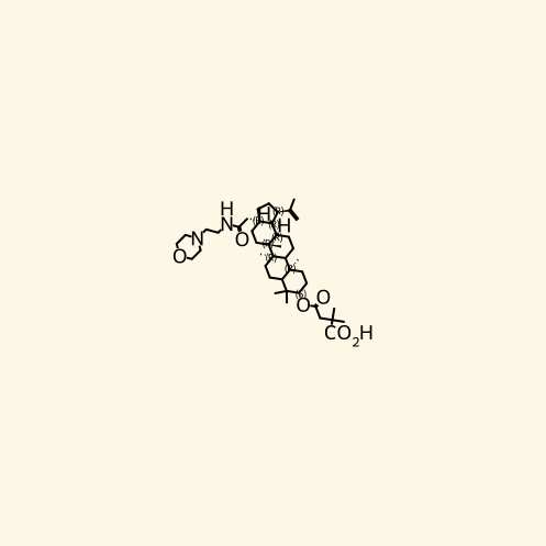 C=C(C)[C@@H]1CC[C@]2(CC(=O)NCCN3CCOCC3)CC[C@]3(C)[C@H](CCC4[C@@]5(C)CC[C@H](OC(=O)CC(C)(C)C(=O)O)C(C)(C)C5CC[C@]43C)[C@@H]12